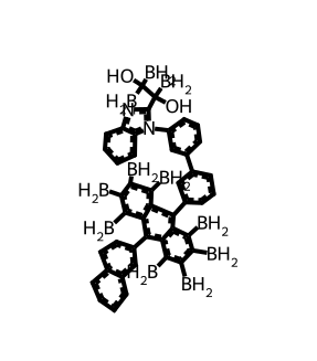 Bc1c(B)c(B)c2c(-c3ccc4ccccc4c3)c3c(B)c(B)c(B)c(B)c3c(-c3cccc(-c4cccc(-n5c(C(B)(O)C(B)(B)O)nc6ccccc65)c4)c3)c2c1B